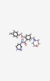 O=C(Nc1cccnc1)c1cc(CN2CCOCC2)ccc1OCc1ccc(F)cc1